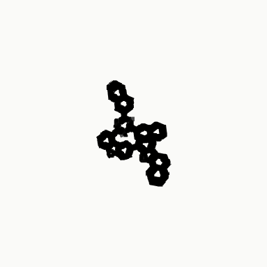 c1ccc2cc(-c3nc(-c4ccc5ccccc5c4)nc(-c4cccc5oc6ccc(-c7cccc8c7oc7c9ccccc9ccc87)cc6c45)n3)ccc2c1